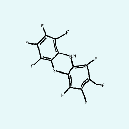 Fc1c(F)c(F)c2c(c1F)Nc1c(F)c(F)c(F)c(F)c1S2